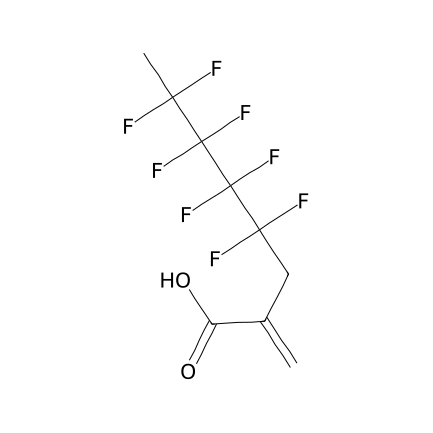 C=C(CC(F)(F)C(F)(F)C(F)(F)C(C)(F)F)C(=O)O